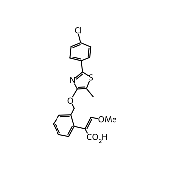 COC=C(C(=O)O)c1ccccc1COc1nc(-c2ccc(Cl)cc2)sc1C